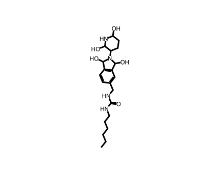 CCCCCCNC(=O)NCc1ccc2c(c1)C(O)N(C1CCC(O)NC1O)C2O